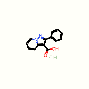 Cl.O=C(O)c1c(-c2ccccc2)nn2ccccc12